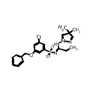 CCC(=NS(=O)(=O)c1cc(Cl)cc(OCc2ccccc2)c1)NN1CC(C)(C)C=N1